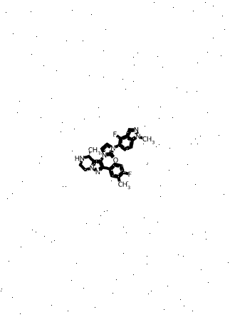 Cc1cc(-c2nn3c(c2-n2ccn(-c4ccc5c(cnn5C)c4F)c2=O)[C@@H](C)NCC3)ccc1F